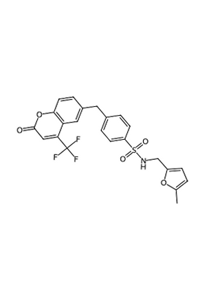 Cc1ccc(CNS(=O)(=O)c2ccc(Cc3ccc4oc(=O)cc(C(F)(F)F)c4c3)cc2)o1